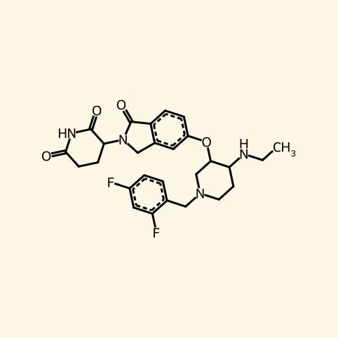 CCNC1CCN(Cc2ccc(F)cc2F)CC1Oc1ccc2c(c1)CN(C1CCC(=O)NC1=O)C2=O